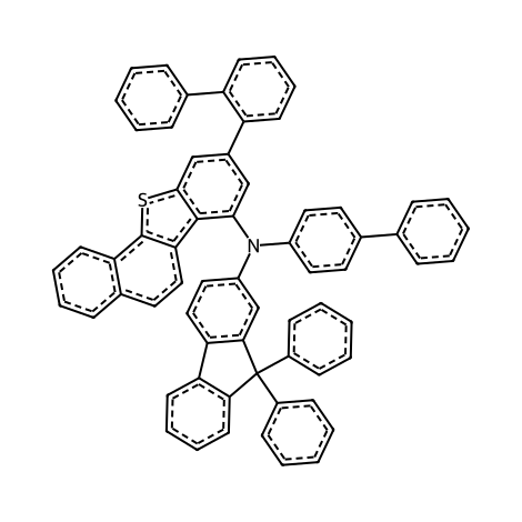 c1ccc(-c2ccc(N(c3ccc4c(c3)C(c3ccccc3)(c3ccccc3)c3ccccc3-4)c3cc(-c4ccccc4-c4ccccc4)cc4sc5c6ccccc6ccc5c34)cc2)cc1